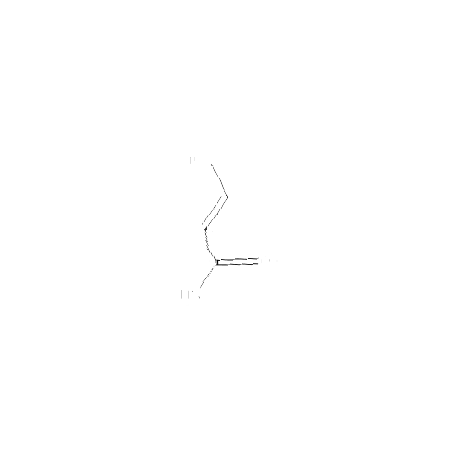 CCCC=CC([NH])=O